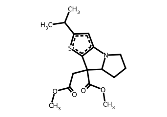 COC(=O)CC1(C(=O)OC)c2sc(C(C)C)cc2N2CCCC21